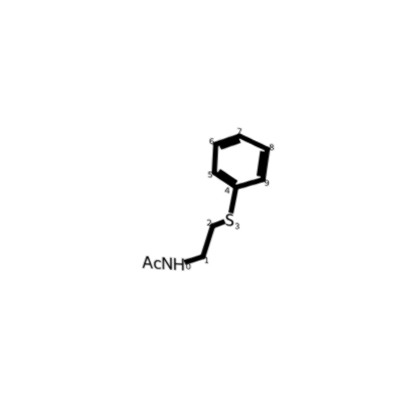 CC(=O)NCCSc1ccccc1